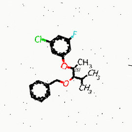 CC(C)C(OCc1ccccc1)[C@H](C)Oc1cc(F)cc(Cl)c1